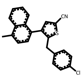 Cc1ccc(-c2cc(C#N)sc2Cc2ccc(Cl)cc2)c2ccccc12